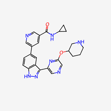 O=C(NC1CC1)c1cncc(-c2ccc3[nH]nc(-c4cncc(OC5CCCNC5)n4)c3c2)c1